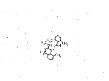 CNC(=S)N(CCNc1c(C)cccc1C)c1c(C)cccc1C